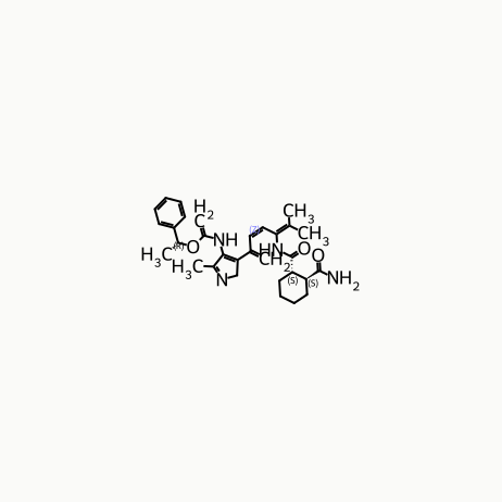 C=C(NC1=C(C(=C)/C=C\C(NC(=O)[C@H]2CCCC[C@@H]2C(N)=O)=C(C)C)CN=C1C)O[C@H](C)c1ccccc1